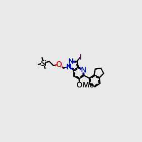 COc1cc2c(nc1-c1cccc3c1CCC3)c(I)nn2COCC[Si](C)(C)C